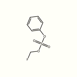 O=S(=O)(OCF)Oc1ccccc1